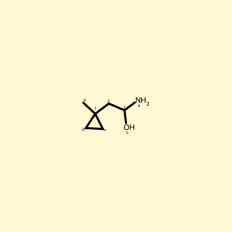 CC1(CC(N)O)CC1